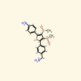 C[S+]([O-])c1c(-c2ccc(N)cc2)sc(-c2ccc(CN)cc2)c1[S+](C)[O-]